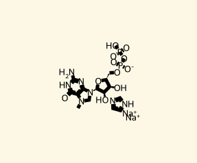 CN1CN([C@@H]2O[C@H](COP(=O)([O-])OP(=O)([O-])O)[C@@H](O)[C@H]2O)c2nc(N)[nH]c(=O)c21.[Na+].[Na+].c1c[nH]cn1